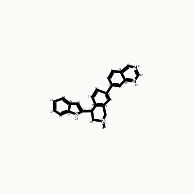 CN1Cc2cc(-c3ccc4cncnc4c3)ccc2C(c2cc3ccccc3s2)C1